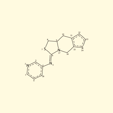 c1cncc(N=C2SCC3Cc4ccsc4CN23)c1